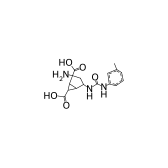 Cc1cccc(NC(=O)NC2CC(N)(C(=O)O)C3C(C(=O)O)C23)c1